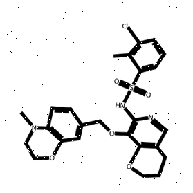 Cc1c(Cl)cccc1S(=O)(=O)Nc1ncc2c(c1OCc1ccc3c(c1)OCCN3C)OCCC2